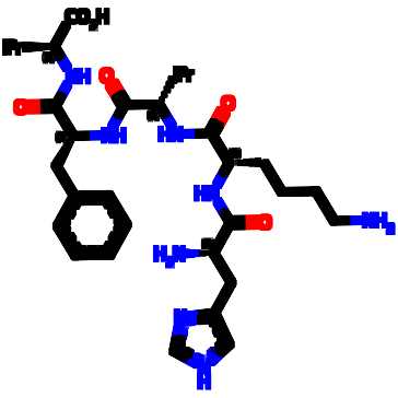 CC(C)[C@H](NC(=O)[C@H](Cc1ccccc1)NC(=O)[C@@H](NC(=O)[C@H](CCCCN)NC(=O)[C@@H](N)Cc1c[nH]cn1)C(C)C)C(=O)O